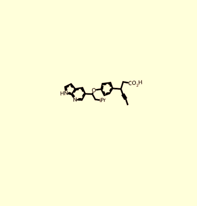 CC#CC(CC(=O)O)c1ccc(OC(CC(C)C)c2cnc3[nH]ccc3c2)cc1